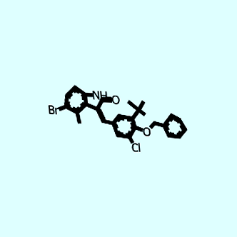 Cc1c(Br)ccc2c1C(=Cc1cc(Cl)c(OCc3ccccc3)c(C(C)(C)C)c1)C(=O)N2